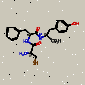 N[C@H](CS)C(=O)N[C@@H](Cc1ccccc1)C(=O)N[C@@H](Cc1ccc(O)cc1)C(=O)O